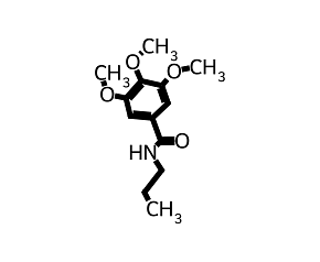 CCCNC(=O)c1cc(OC)c(OC)c(OC)c1